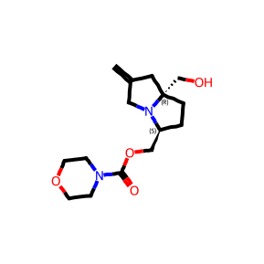 C=C1CN2[C@H](COC(=O)N3CCOCC3)CC[C@]2(CO)C1